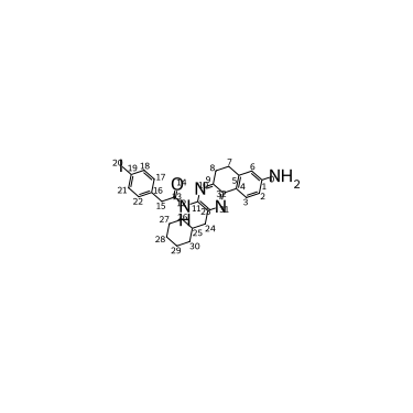 Nc1ccc2c(c1)CCc1nc(NC(=O)Cc3ccc(I)cc3)c(CC3CCCCC3)nc1-2